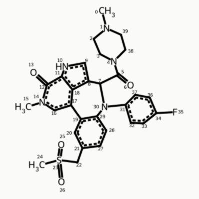 CN1CCN(C(=O)C2c3c[nH]c4c(=O)n(C)cc(c34)-c3cc(CS(C)(=O)=O)ccc3N2c2ccc(F)cc2)CC1